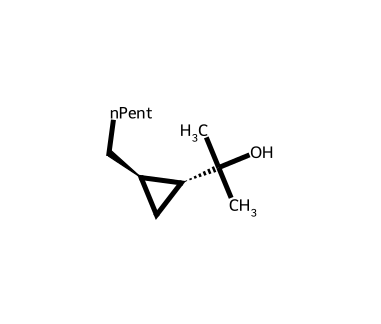 CCCCCC[C@@H]1C[C@H]1C(C)(C)O